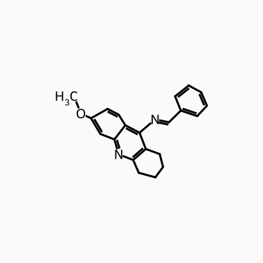 COc1ccc2c(/N=C/c3ccccc3)c3c(nc2c1)CCCC3